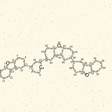 c1cc(-c2ccc3oc4ccccc4c3c2)cc(-c2ccc3oc4ccc(-c5ccc6oc7ccccc7c6c5)cc4c3c2)c1